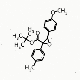 COc1ccc(C2OC2(C(=O)OC(C)(C)C)c2ccc(C)cc2)cc1